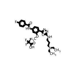 CCN(CC)CCCNc1nnc(-c2ccc(NC(=O)c3ccc(F)cc3)cc2OC)o1.O=C(O)C(F)(F)F